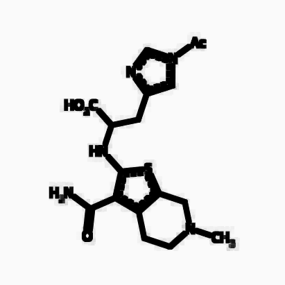 CC(=O)n1cnc(CC(Nc2sc3c(c2C(N)=O)CCN(C)C3)C(=O)O)c1